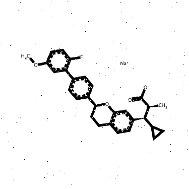 COc1ccc(F)c(-c2ccc(C3CCc4ccc([C@H](C5CC5)[C@H](C)C(=O)[O-])cc4O3)cc2)c1.[Na+]